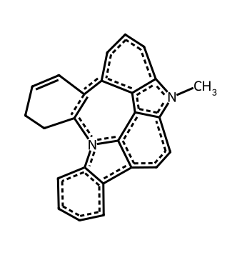 Cn1c2cccc3c4c(n5c6ccccc6c6ccc1c(c32)c65)CCC=C4